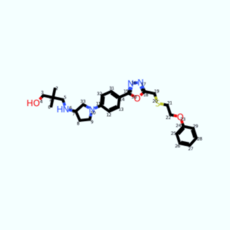 CC(C)(CO)CNC1CCN(c2ccc(-c3nnc(CSCCOc4ccccc4)o3)cc2)C1